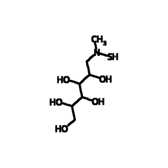 CN(S)CC(O)C(O)C(O)C(O)CO